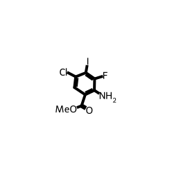 COC(=O)c1cc(Cl)c(I)c(F)c1N